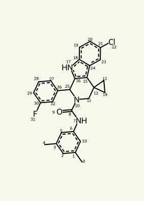 Cc1cc(C)cc(NC(=O)N2CC3(CC3)c3c([nH]c4ccc(Cl)cc34)C2c2cccc(F)c2)c1